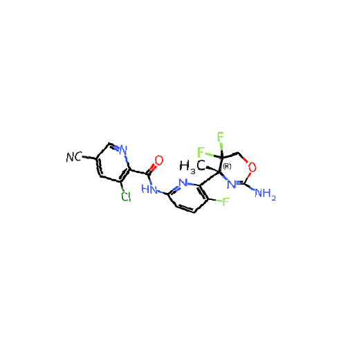 C[C@]1(c2nc(NC(=O)c3ncc(C#N)cc3Cl)ccc2F)N=C(N)OCC1(F)F